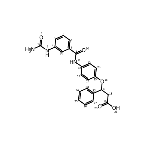 NC(=O)Nc1cccc(C(=O)Nc2ccc(OC(CC(=O)O)c3ccccc3)cc2)c1